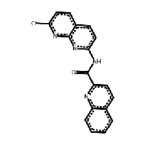 O=C(Nc1ccc2ccc(Cl)nc2n1)c1ccc2ccccc2n1